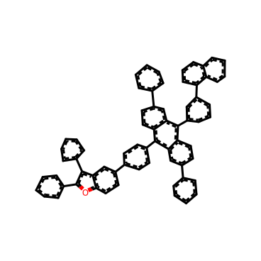 c1ccc(-c2ccc3c(-c4cccc(-c5cccc6ccccc56)c4)c4cc(-c5ccccc5)ccc4c(-c4ccc(-c5ccc6oc(-c7ccccc7)c(-c7ccccc7)c6c5)cc4)c3c2)cc1